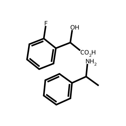 CC(N)c1ccccc1.O=C(O)C(O)c1ccccc1F